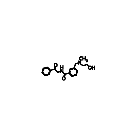 CN(CCO)Cc1cccc(C(=O)NCC(=O)c2ccccc2)c1